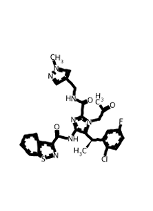 CC(=O)Cn1c(C(=O)NCc2cnn(C)c2)nc(NC(=O)c2nsc3ccccc23)c1[C@H](C)c1cc(F)ccc1Cl